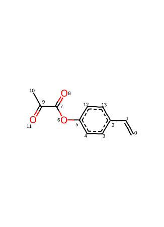 C=Cc1ccc(OC(=O)C(C)=O)cc1